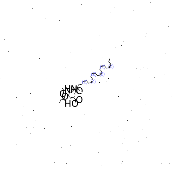 CC/C=C\C/C=C\C/C=C\C/C=C\C/C=C\C/C=C\CCC(=O)NC1CC(C(=O)O)=CC(OC(CC)CC)C1NC(C)=O